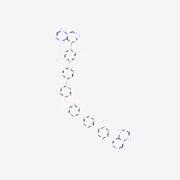 Cc1cc(-c2cncc3nccnc23)c(C)cc1-c1ccc(-c2ccc3c(c2)Oc2cc(-c4ccc(-c5cc(C)c(-c6cncc7nccnc67)cc5C)cc4)ccc2O3)cc1